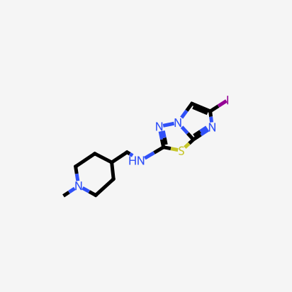 CN1CCC(CNc2nn3cc(I)nc3s2)CC1